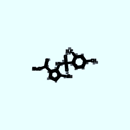 CCCCc1csc(C(=O)OC)c1NS(=O)(=O)c1ccc(C)cc1C